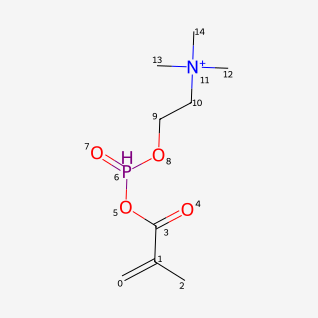 C=C(C)C(=O)O[PH](=O)OCC[N+](C)(C)C